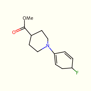 COC(=O)C1CCN(C2=CCC(F)C=C2)CC1